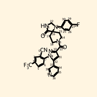 N#Cc1cc(C(F)(F)F)ccc1-n1nc(C(=O)N2CCC3(CC2)C(=O)NCN3c2ccc(F)cc2)cc1-c1cccnc1